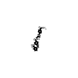 NC(=O)c1ccc(-c2ncc(CNC(=O)c3ccc4c(c3)NC(=O)c3ccccc3S4(=O)=O)s2)cc1